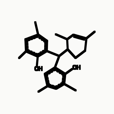 CC1=CC(C)C(C(c2cc(C)cc(C)c2O)c2cc(C)cc(C)c2O)CC1